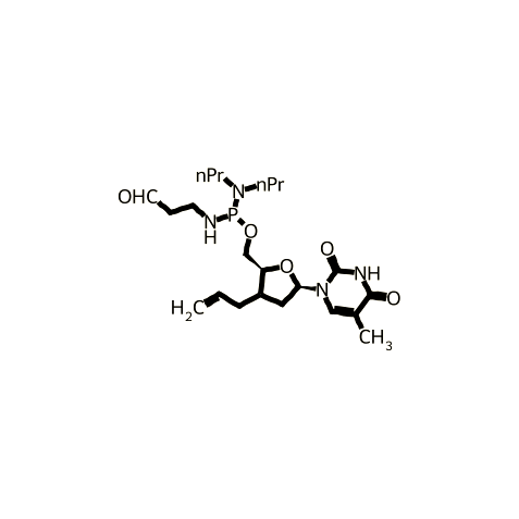 C=CCC1C[C@H](n2cc(C)c(=O)[nH]c2=O)O[C@@H]1COP(NCCC=O)N(CCC)CCC